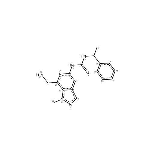 CC(NC(=O)Nc1cc2cnn(C)c2c(CN)n1)c1ccccc1